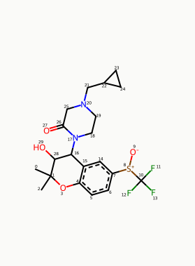 CC1(C)Oc2ccc([S+]([O-])C(F)(F)F)cc2C(N2CCN(CC3CC3)CC2=O)C1O